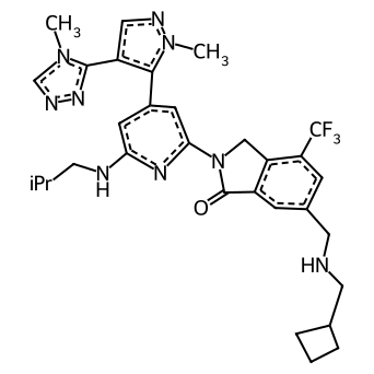 CC(C)CNc1cc(-c2c(-c3nncn3C)cnn2C)cc(N2Cc3c(cc(CNCC4CCC4)cc3C(F)(F)F)C2=O)n1